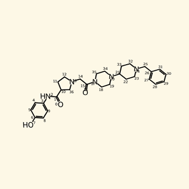 O=C(Nc1ccc(O)cc1)C1CCN(CC(=O)N2CCN(C3CCN(Cc4ccccc4)CC3)CC2)C1